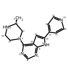 C[C@H]1CN(c2ncnc3[nH]c(-c4ccncc4)cc23)CCN1